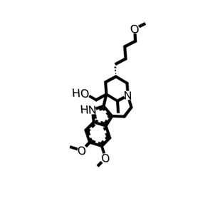 COCCCC[C@@H]1CN2CCc3c([nH]c4cc(OC)c(OC)cc34)C(CO)(C1)C2C